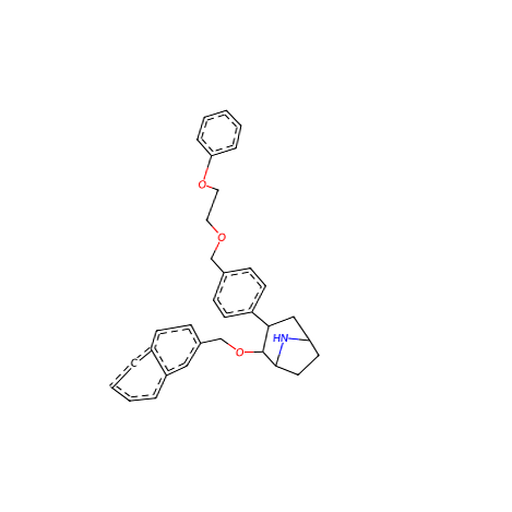 c1ccc(OCCOCc2ccc(C3CC4CCC(N4)C3OCc3ccc4ccccc4c3)cc2)cc1